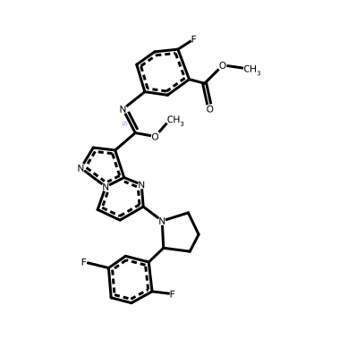 COC(=O)c1cc(/N=C(\OC)c2cnn3ccc(N4CCCC4c4cc(F)ccc4F)nc23)ccc1F